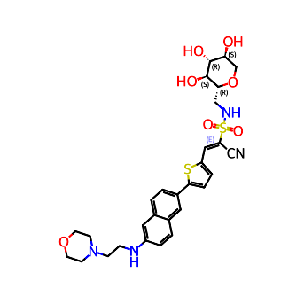 N#C/C(=C\c1ccc(-c2ccc3cc(NCCN4CCOCC4)ccc3c2)s1)S(=O)(=O)NC[C@H]1OC[C@H](O)[C@@H](O)[C@@H]1O